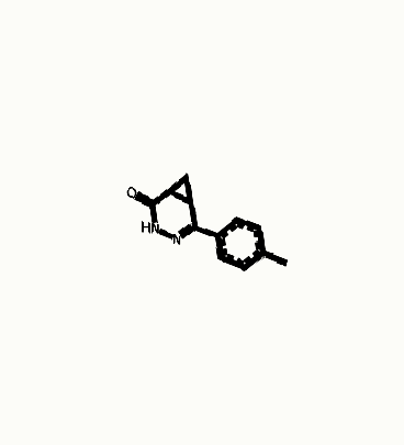 Cc1ccc(C2=NNC(=O)C3CC23)cc1